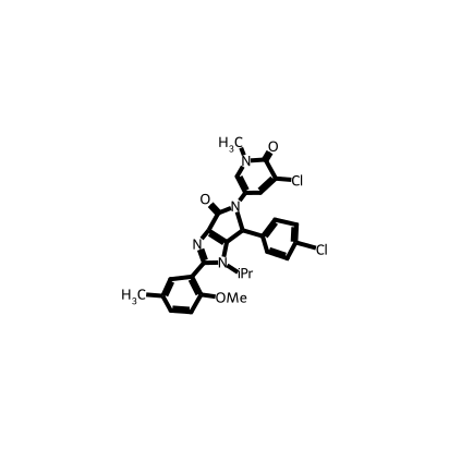 COc1ccc(C)cc1-c1nc2c(n1C(C)C)C(c1ccc(Cl)cc1)N(c1cc(Cl)c(=O)n(C)c1)C2=O